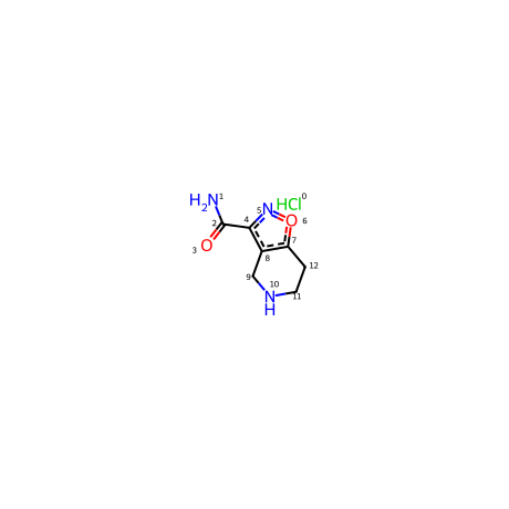 Cl.NC(=O)c1noc2c1CNCC2